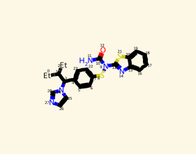 CCC(CC)C(c1ccc(SN(C(N)=O)c2nc3ccccc3s2)cc1)n1ccnc1